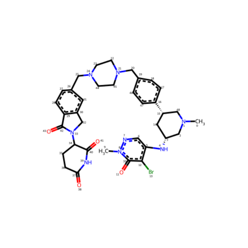 CN1C[C@H](Nc2cnn(C)c(=O)c2Br)C[C@H](c2ccc(CN3CCN(Cc4ccc5c(c4)CN(C4CCC(=O)NC4=O)C5=O)CC3)cc2)C1